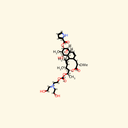 CO[C@H]1CC2C=C[C@H]3[C@H]4O[C@]2(/C(C)=C/[C@@H](C)[C@@H]([C@@H](C)OC(=O)OCCN(CCO)CCO)OC1=O)[C@@H]3[C@H](O)[C@@H](C)[C@H]4OC(=O)c1ccc[nH]1